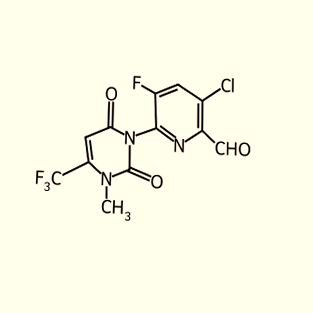 Cn1c(C(F)(F)F)cc(=O)n(-c2nc(C=O)c(Cl)cc2F)c1=O